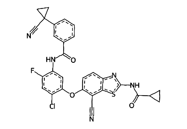 N#Cc1c(Oc2cc(NC(=O)c3cccc(C4(C#N)CC4)c3)c(F)cc2Cl)ccc2nc(NC(=O)C3CC3)sc12